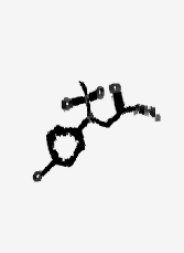 CS(=O)(=O)N(CC(N)=O)c1ccc(Cl)cc1